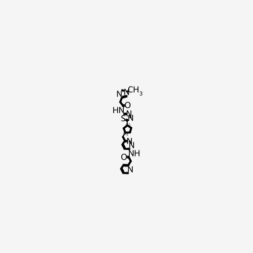 Cn1cnc(CC(=O)Nc2nnc([C@H]3CC[C@@H](Cc4ccc(NC(=O)Cc5ccccn5)nn4)C3)s2)c1